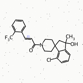 CC1(O)CC2(CCN(C(=O)/C=C/c3ccccc3C(F)(F)F)CC2)c2c(Cl)cccc21